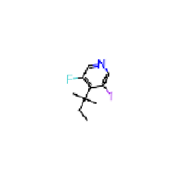 CCC(C)(C)c1c(F)cncc1I